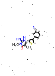 C[C@H]1C(=O)N(C)C(=N)N[C@@H]1c1cc(-c2cccc(C#N)c2)cs1